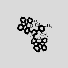 Cc1cc(C)c(-c2cc(-c3cccc4c3Oc3ccccc3C4(c3ccccc3)c3ccccc3)nc(-c3cccc4c3Oc3ccccc3C4(c3ccccc3)c3ccccc3)c2)c(C)c1